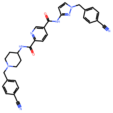 N#Cc1ccc(CN2CCC(NC(=O)c3ccc(C(=O)Nc4ccn(Cc5ccc(C#N)cc5)n4)cn3)CC2)cc1